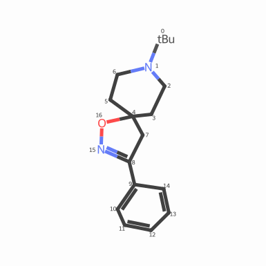 CC(C)(C)N1CCC2(CC1)CC(c1ccccc1)=NO2